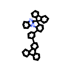 c1cc(-c2ccc3c4ccccc4c4ccccc4c3c2)cc(-c2cccc3c2-n2c(nc4ccccc42)C32c3ccccc3-c3ccccc32)c1